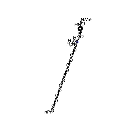 CCCOCCOCCOCCOCCOCCOCCOCCOCCOCCOCCOCCOCCOCCN(N)/C=C(\N)CNC(=O)OCc1ccc(NC(=O)CNC)cc1